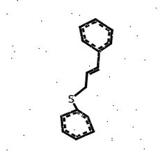 C(=Cc1ccccc1)CSc1ccccc1